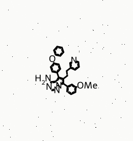 COc1cccc(-c2c(CCc3cccnc3)c(-c3ccc(Oc4ccccc4)cc3)c3c(N)ncnn23)c1